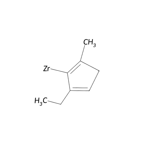 CCC1=CCC(C)=[C]1[Zr]